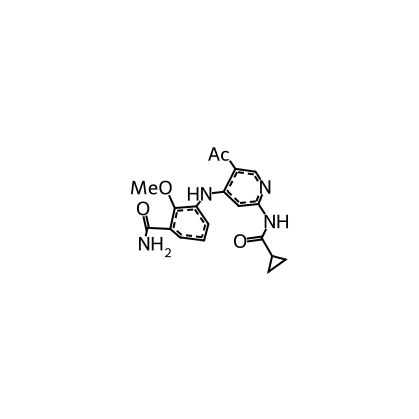 COc1c(Nc2cc(NC(=O)C3CC3)ncc2C(C)=O)cccc1C(N)=O